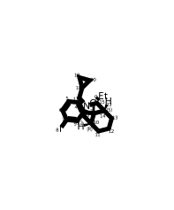 CCO[C@]1(c2cccc(I)c2)[C@@H]2CCC[C@H]1CN(CC1CC1)C2